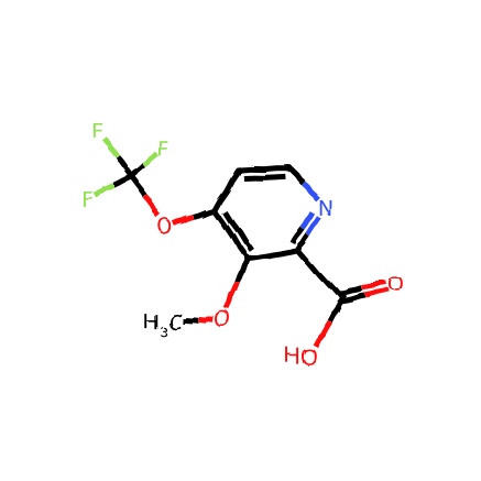 COc1c(OC(F)(F)F)ccnc1C(=O)O